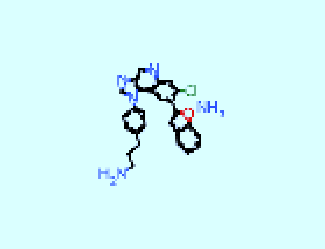 N.NCCCc1ccc(-n2cnc3cnc4cc(Cl)c(-c5cc6ccccc6o5)cc4c32)cc1